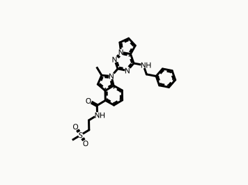 Cc1cc2c(C(=O)NCCS(C)(=O)=O)cccc2n1-c1nc(NCc2ccccc2)c2cccn2n1